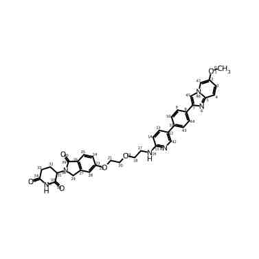 COc1ccc2nc(-c3ccc(-c4ccc(NCCOCCOc5ccc6c(c5)CN(C5CCC(=O)NC5=O)C6=O)nc4)cc3)cn2c1